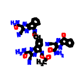 CC(=O)ON=C1c2ccccc2-c2nc(C(N)=O)c(C#N)nc21.CON=C1c2ccccc2-c2nc(C(N)=O)c(C#N)nc21.N#Cc1nc2c(nc1C(N)=O)-c1ccccc1C2=O